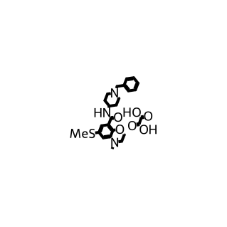 CSc1cc(C(=O)NC2CCN(Cc3ccccc3)CC2)c2c(c1)N(C)CCO2.O=C(O)C(=O)O